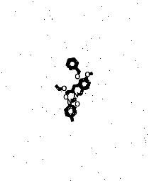 CCOC(=O)C1Cc2c(ccc(OC)c2OCc2ccccc2)CN1c1nc2ccc(C)cc2o1